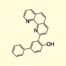 Oc1ccc(-c2ccccc2)cc1-c1ccc2ccc3cccnc3c2n1